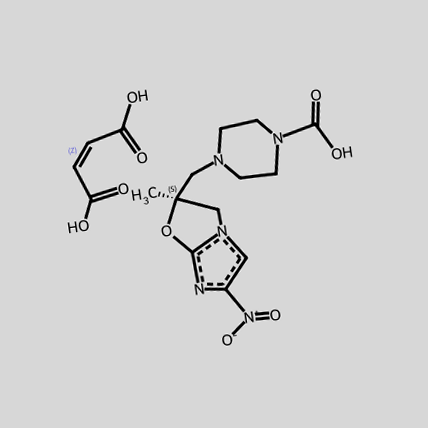 C[C@]1(CN2CCN(C(=O)O)CC2)Cn2cc([N+](=O)[O-])nc2O1.O=C(O)/C=C\C(=O)O